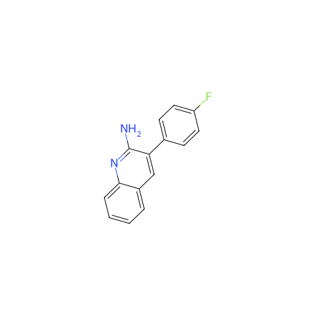 Nc1nc2ccccc2cc1-c1ccc(F)cc1